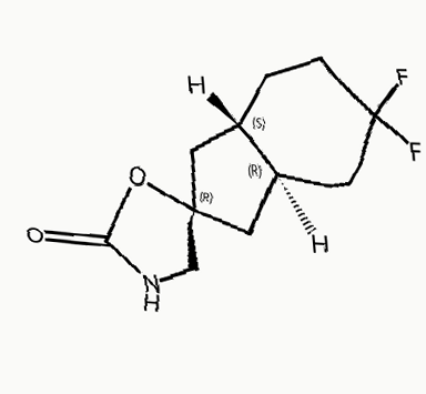 O=C1NC[C@]2(C[C@@H]3CCC(F)(F)C[C@H]3C2)O1